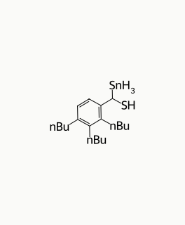 CCCCc1ccc([CH](S)[SnH3])c(CCCC)c1CCCC